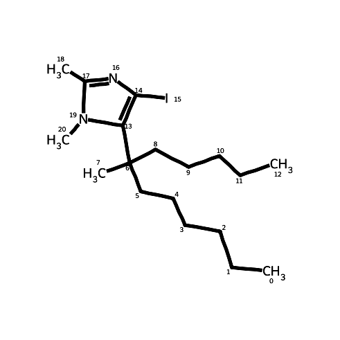 CCCCCCC(C)(CCCCC)c1c(I)nc(C)n1C